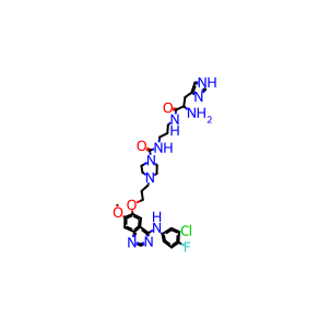 COc1cc2ncnc(Nc3ccc(F)c(Cl)c3)c2cc1OCCCN1CCN(C(=O)NCCCNC(=O)C(N)Cc2c[nH]cn2)CC1